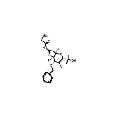 C[C@H]1[C@H](OCc2ccccc2)[C@H]2N=C(NC(=O)OC(C)(C)C)S[C@H]2O[C@@H]1C(C)(C)O